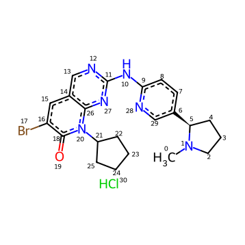 CN1CCC[C@@H]1c1ccc(Nc2ncc3cc(Br)c(=O)n(C4CCCC4)c3n2)nc1.Cl